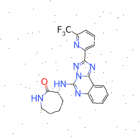 O=C1NCCCC[C@H]1Nc1nc2ccccc2c2nc(-c3cccc(C(F)(F)F)n3)nn12